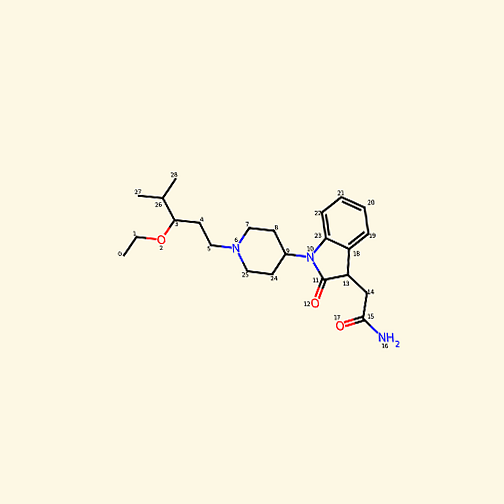 CCOC(CCN1CCC(N2C(=O)C(CC(N)=O)c3ccccc32)CC1)C(C)C